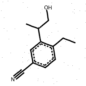 CCc1ccc(C#N)cc1[C](C)CO